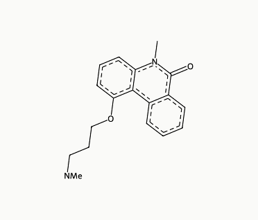 CNCCCOc1cccc2c1c1ccccc1c(=O)n2C